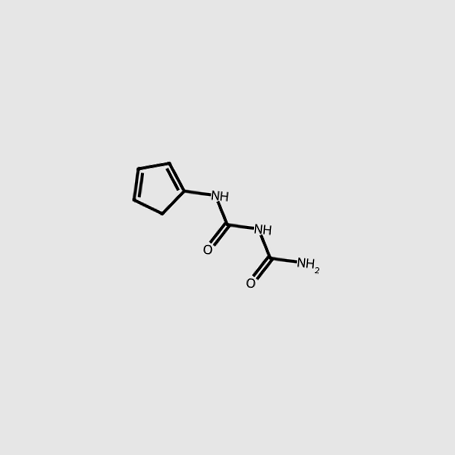 NC(=O)NC(=O)NC1=CC=CC1